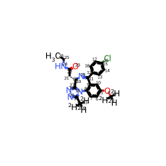 [2H]C([2H])([2H])Oc1ccc2c(c1)C(c1ccc(Cl)cc1)=N[C@@H](CC(=O)NCC)c1nnc(C([2H])([2H])[2H])n1-2